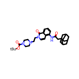 CC(C)(C)OC(=O)N1CCN(CCn2ccc3c(NC(=O)CC45CC6CC(CC(C6)C4)C5)cccc3c2=O)CC1